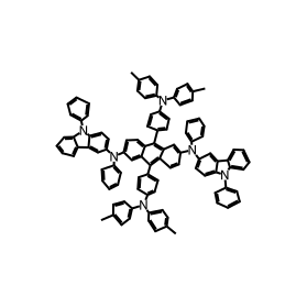 Cc1ccc(N(c2ccc(C)cc2)c2ccc(-c3c4ccc(N(c5ccccc5)c5ccc6c(c5)c5ccccc5n6-c5ccccc5)cc4c(-c4ccc(N(c5ccc(C)cc5)c5ccc(C)cc5)cc4)c4ccc(N(c5ccccc5)c5ccc6c(c5)c5ccccc5n6-c5ccccc5)cc34)cc2)cc1